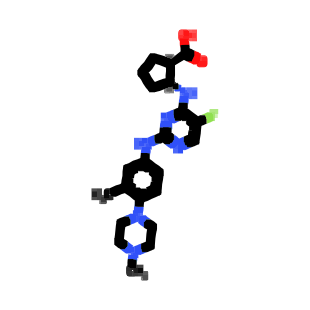 Cc1cc(Nc2ncc(F)c(N[C@@H]3CCC[C@H]3C(=O)O)n2)ccc1N1CCN(C)CC1